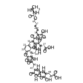 CNNC(=O)OCCSSC[C@H](NC(=O)[C@H](Cc1ccccc1)NC(=O)[C@H](CC(=O)O)NC(=O)CC[C@H](NC(=O)CC[C@H](NC(=O)N[C@@H](CCC(=O)O)C(=O)O)C(=O)O)C(=O)O)C(=O)O